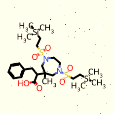 CC1(C(Cc2ccccc2)C(=O)O)CN(S(=O)(=O)CC[Si](C)(C)C)CCN(S(=O)(=O)CC[Si](C)(C)C)C1